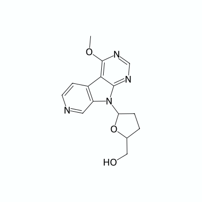 COc1ncnc2c1c1ccncc1n2C1CCC(CO)O1